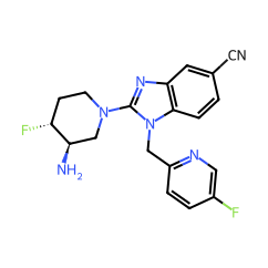 N#Cc1ccc2c(c1)nc(N1CC[C@@H](F)[C@H](N)C1)n2Cc1ccc(F)cn1